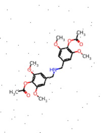 COc1cc(CNCc2cc(OC)c(OC(C)=O)c(OC)c2)cc(OC)c1OC(C)=O